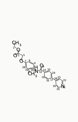 CCOC(=O)COc1ccc(NC(=O)c2ccc(-c3ccncc3)cc2)c(C)c1